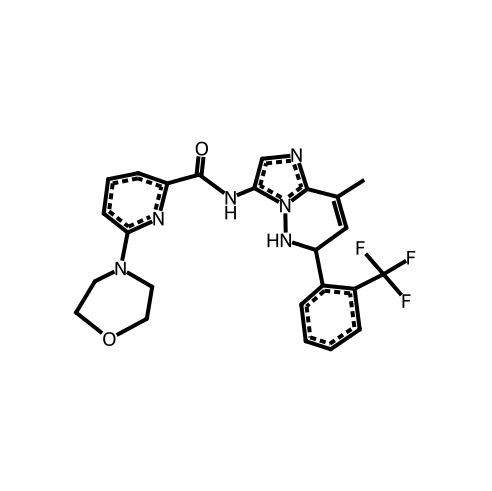 CC1=CC(c2ccccc2C(F)(F)F)Nn2c(NC(=O)c3cccc(N4CCOCC4)n3)cnc21